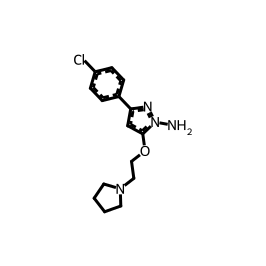 Nn1nc(-c2ccc(Cl)cc2)cc1OCCN1CCCC1